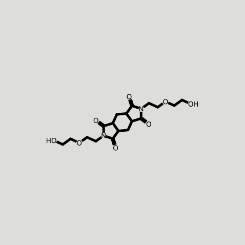 O=C1C2CC3C(=O)N(CCOCCO)C(=O)C3CC2C(=O)N1CCOCCO